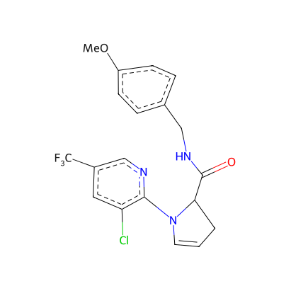 COc1ccc(CNC(=O)C2CC=CN2c2ncc(C(F)(F)F)cc2Cl)cc1